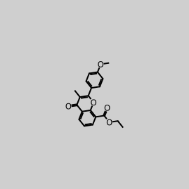 CCOC(=O)c1cccc2c(=O)c(C)c(-c3ccc(OC)cc3)oc12